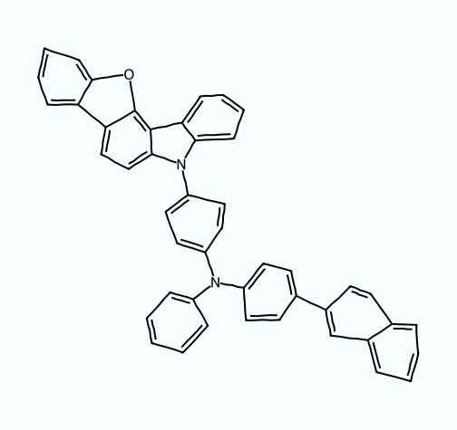 c1ccc(N(c2ccc(-c3ccc4ccccc4c3)cc2)c2ccc(-n3c4ccccc4c4c5oc6ccccc6c5ccc43)cc2)cc1